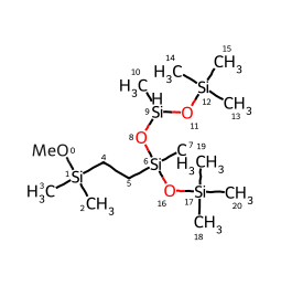 CO[Si](C)(C)CC[Si](C)(O[SiH](C)O[Si](C)(C)C)O[Si](C)(C)C